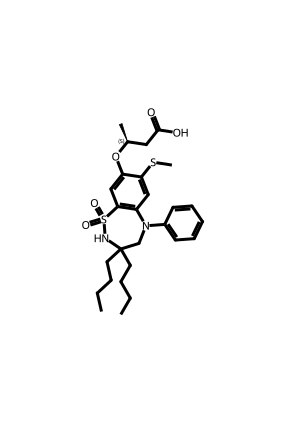 CCCCC1(CCCC)CN(c2ccccc2)c2cc(SC)c(O[C@@H](C)CC(=O)O)cc2S(=O)(=O)N1